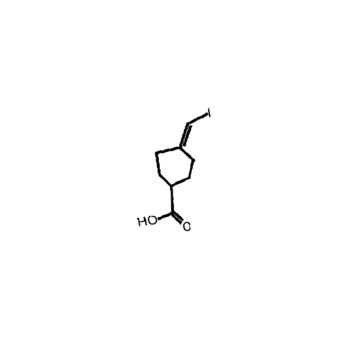 O=C(O)C1CCC(=CI)CC1